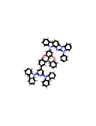 c1ccc(-n2c3ccccc3n3c4ccc5c6ccccc6n(-c6cc7c8c(c6)Oc6ccc(-c9cc(-n%10c%11ccccc%11c%11ccccc%11%10)nc(-n%10c%11ccccc%11c%11ccccc%11%10)c9)cc6B8c6ccccc6O7)c5c4nc23)cc1